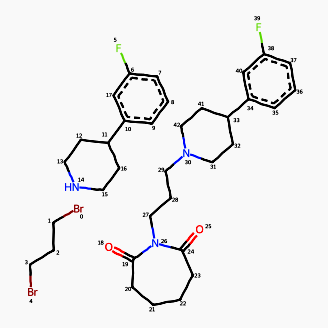 BrCCCBr.Fc1cccc(C2CCNCC2)c1.O=C1CCCCC(=O)N1CCCN1CCC(c2cccc(F)c2)CC1